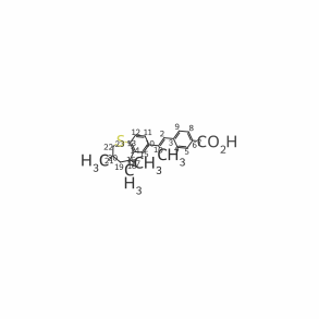 C/C(=C\c1ccc(C(=O)O)cc1)c1ccc2c(c1)C(C)(C)CC(C)CS2